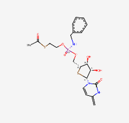 C=C1C=CN([C@@H]2S[C@H](CO[P@](=O)(NCc3ccccc3)OCCSC(=O)C(C)(C)C)[C@@H](O)[C@H]2O)C(=O)N1